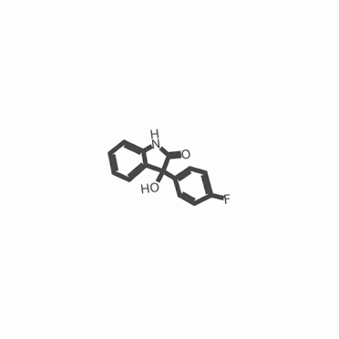 O=C1Nc2ccccc2C1(O)c1ccc(F)cc1